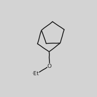 C[CH]OC1CC2CCC1C2